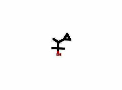 CC(C1CC1)C(C)(C)O